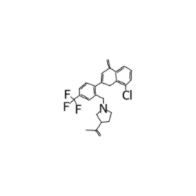 C=C1C=C(c2ccc(C(F)(F)F)cc2CN2CCC(C(=C)C)C2)Cc2c(Cl)cccc21